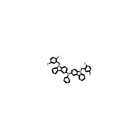 Fc1ccc(F)c(Cn2c3ccccc3c3cc(N(c4ccccc4)c4ccc5c(c4)c4ccccc4n5Cc4cc(F)ccc4F)ccc32)c1